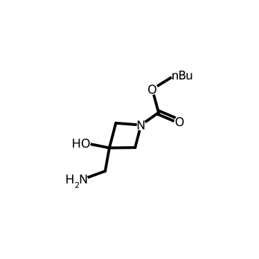 CCCCOC(=O)N1CC(O)(CN)C1